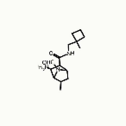 CC1CC2C(C(=O)NCC3(C)CCC3)C(N)C1N2C=O